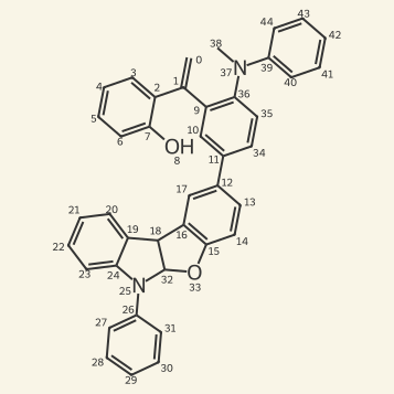 C=C(c1ccccc1O)c1cc(-c2ccc3c(c2)C2c4ccccc4N(c4ccccc4)C2O3)ccc1N(C)c1ccccc1